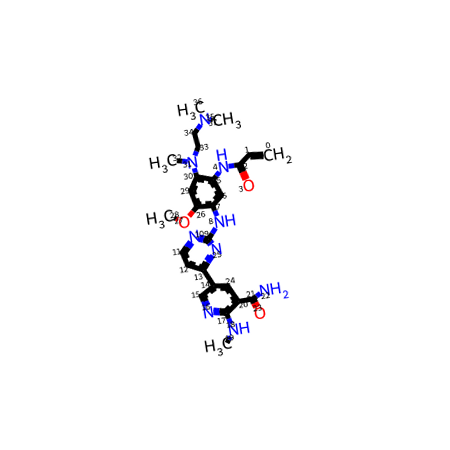 C=CC(=O)Nc1cc(Nc2nccc(-c3cnc(NC)c(C(N)=O)c3)n2)c(OC)cc1N(C)CCN(C)C